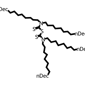 CCCCCCCCCCCCCCCCCCN(CCCCCCCCCCCCCCCCCC)C(=S)SC(=S)N(CCCCCCCCCCCCCCCCCC)CCCCCCCCCCCCCCCCCC